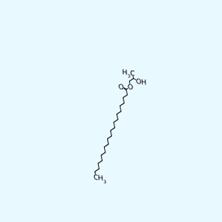 CCCCCCCCCCCCCCCCCCCCCC(=O)OCC(C)O